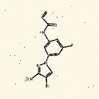 C=CC(=O)Nc1cc(F)cc(-n2cc(Br)c([N+](=O)[O-])n2)c1